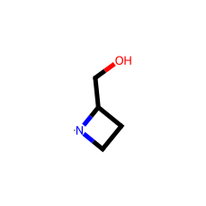 OCC1CC[N]1